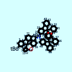 CC(C)(C)c1ccc2c(c1)C1(c3ccccc3Oc3ccc(CN(c4ccc5c(c4)C(c4ccccc4)(c4ccccc4)c4ccccc4-5)c4ccc5c(c4)C4(c6ccccc6-c6ccccc64)c4ccccc4-5)cc31)c1cc(C(C)(C)C)ccc1-2